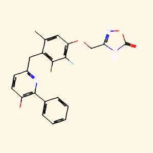 Cc1cc(OCc2noc(=O)[nH]2)c(F)c(Br)c1Cc1ccc(O)c(-c2ccccc2)n1